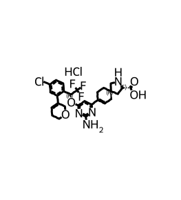 Cl.Nc1nc(O[C@H](c2ccc(Cl)cc2C2=CCCOC2)C(F)(F)F)cc(C2=CC[C@@]3(CC2)CN[C@H](C(=O)O)C3)n1